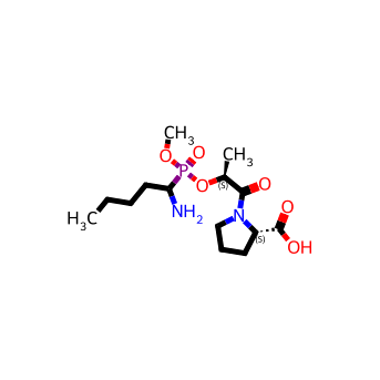 CCCCC(N)P(=O)(OC)O[C@@H](C)C(=O)N1CCC[C@H]1C(=O)O